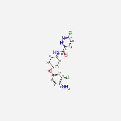 Nc1ccc(OC2CCC(NC(=O)c3ccc(Cl)nn3)CC2)cc1Cl